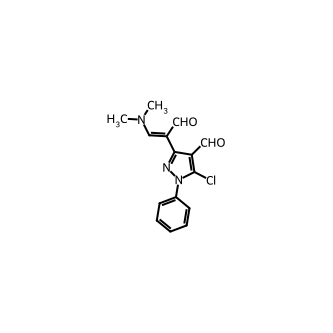 CN(C)C=C(C=O)c1nn(-c2ccccc2)c(Cl)c1C=O